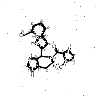 Cn1ncnc1C(=O)N1CCc2[nH]cnc2C1c1cc2cccc(Cl)n2n1